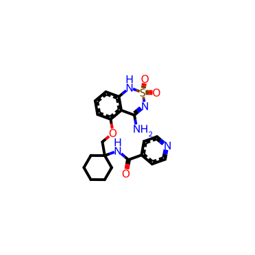 NC1=NS(=O)(=O)Nc2cccc(OCC3(NC(=O)c4ccncc4)CCCCC3)c21